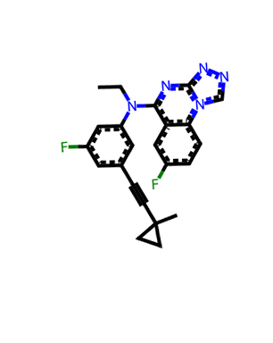 CCN(c1cc(F)cc(C#CC2(C)CC2)c1)c1nc2nncn2c2ccc(F)cc12